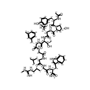 CNC(=N)NCCC[C@H](NC(=O)[C@H](CC(C)C)NC(=O)CNC(=O)[C@H](Cc1cccc(C)c1)NC(=O)[C@@H](NC(=O)[C@H](CC(N)=O)NC(=O)[C@@H]1C[C@@H](O)CN1C(=O)[C@@H](Cc1ccc(O)cc1)NC(C)=O)[C@@H](C)O)C(=O)N[C@@H](Cc1c[nH]c2ccccc12)C(N)=O